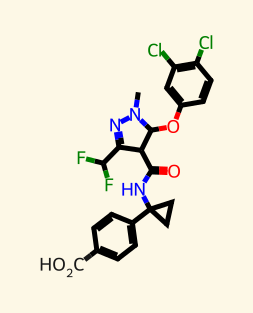 CN1N=C(C(F)F)C(C(=O)NC2(c3ccc(C(=O)O)cc3)CC2)C1Oc1ccc(Cl)c(Cl)c1